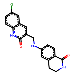 O=C1NCCc2cc(NCc3cc4cc(Cl)ccc4[nH]c3=O)ccc21